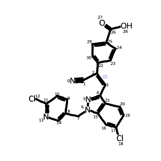 N#C/C(=C\c1nn(Cc2ccc(Cl)nc2)c2cc(Cl)ccc12)c1ccc(C(=O)O)cc1